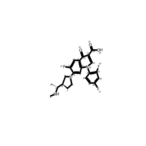 CN[C@H](C)[C@@H]1CCN(c2cc3c(cc2F)c(=O)c(C(=O)O)cn3-c2ccc(F)cc2F)C1